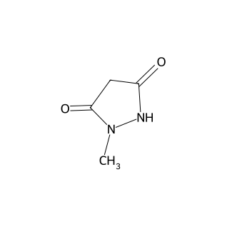 CN1NC(=O)CC1=O